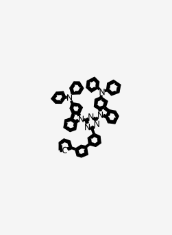 c1ccc(-c2cccc(-c3cccc(-c4nc(-n5c6ccccc6c6cc(N(c7ccccc7)c7ccccc7)ccc65)nc(-n5c6ccccc6c6cc(N(c7ccccc7)c7ccccc7)ccc65)n4)c3)c2)cc1